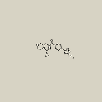 O=C(NCC1COCCN1C(=O)C1CC1)c1ccc(-c2noc(C(F)(F)F)n2)cc1